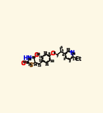 CCc1ccc(C(C)COc2ccc(CC3SC(=O)NC3=O)cc2)cn1